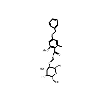 COc1cc(OCc2ccccc2)cc(C)c1C(=O)OCO[C@@H]1[C@@H](O)[C@H](O)[C@@H](CO)O[C@@H]1O